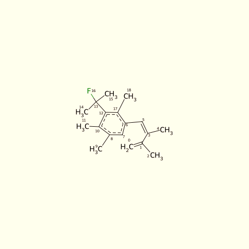 C=C(C)/C(C)=C\c1cc(C)c(C)c(C(C)(C)F)c1C